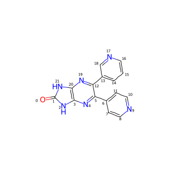 O=c1[nH]c2nc(-c3ccncc3)c(-c3cccnc3)nc2[nH]1